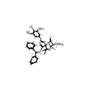 CO[C@@H]1C(=O)N2[C@@H]1SC(C)(C)[C@]2(N=Cc1cc(C(C)(C)C)c(O)c(C(C)(C)C)c1)C(=O)OC(c1ccccc1)c1ccccc1